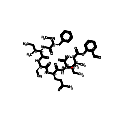 CC[C@@H](C)[C@@H](NC(=O)[C@@H](CCC(N)=O)NC(=O)[C@H](CO)NC(=O)[C@@H](NC(=O)[C@@H](Cc1ccccc1)NC)[C@@H](C)CC)C(=O)N[C@H](C(=O)Oc1ccccc1C=O)[C@@H](C)CC